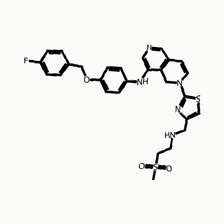 CS(=O)(=O)CCNCc1csc(N2C=Cc3cncc(Nc4ccc(OCc5ccc(F)cc5)cc4)c3C2)n1